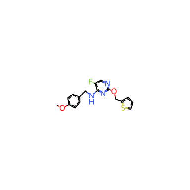 COc1ccc(CNc2nc(OCc3cccs3)ncc2F)cc1